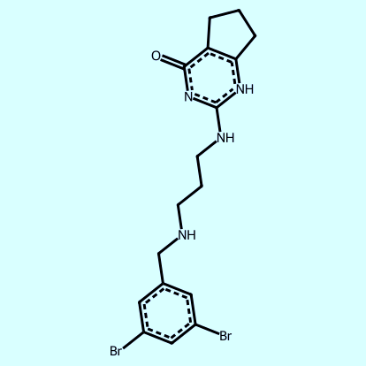 O=c1nc(NCCCNCc2cc(Br)cc(Br)c2)[nH]c2c1CCC2